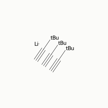 C#CC(C)(C)C.C#CC(C)(C)C.C#CC(C)(C)C.[Li]